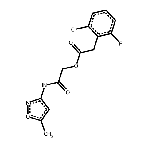 Cc1cc(NC(=O)COC(=O)Cc2c(F)cccc2Cl)no1